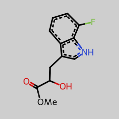 COC(=O)C(O)Cc1c[nH]c2c(F)cccc12